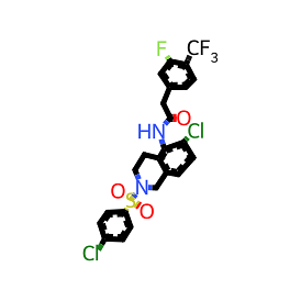 O=C(Cc1ccc(C(F)(F)F)c(F)c1)Nc1c(Cl)ccc2c1CCN(S(=O)(=O)c1ccc(Cl)cc1)C2